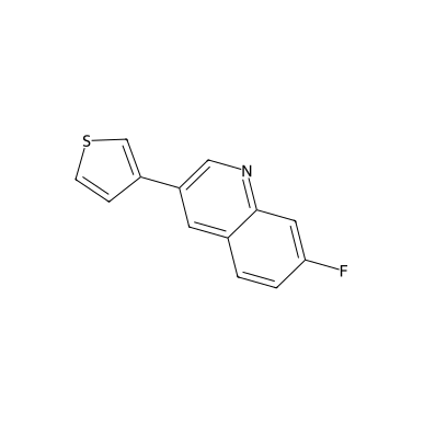 Fc1ccc2cc(-c3ccsc3)cnc2c1